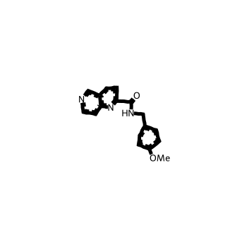 COc1ccc(CNC(=O)c2ccc3cnccc3n2)cc1